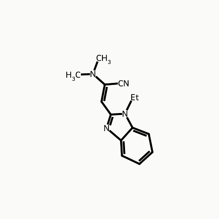 CCn1c(C=C(C#N)N(C)C)nc2ccccc21